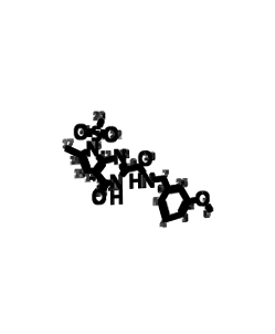 COc1cccc(CNC(=O)c2nc3c(cc(C)n3S(C)(=O)=O)c(=O)[nH]2)c1